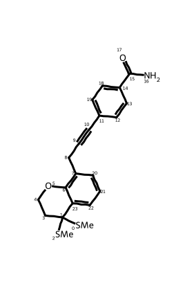 CSC1(SC)CCOc2c(CC#Cc3ccc(C(N)=O)cc3)cccc21